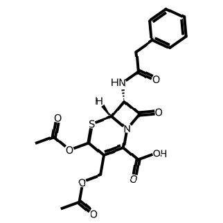 CC(=O)OCC1=C(C(=O)O)N2C(=O)[C@@H](NC(=O)Cc3ccccc3)[C@H]2SC1OC(C)=O